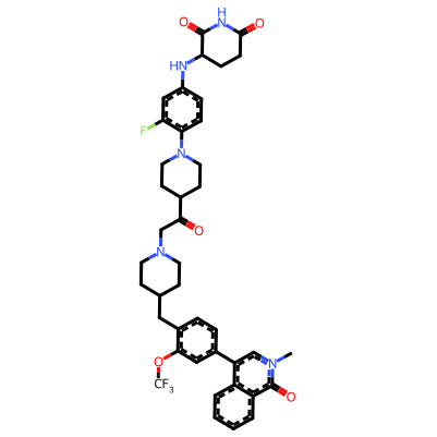 Cn1cc(-c2ccc(CC3CCN(CC(=O)C4CCN(c5ccc(NC6CCC(=O)NC6=O)cc5F)CC4)CC3)c(OC(F)(F)F)c2)c2ccccc2c1=O